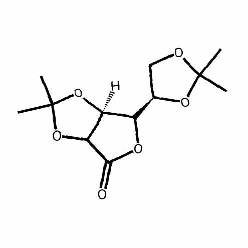 CC1(C)OC2C(=O)OC([C@H]3COC(C)(C)O3)[C@@H]2O1